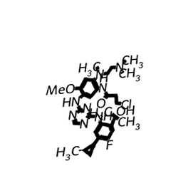 COc1cc(N(C)CCN(C)C)c(NC(=O)CCCl)cc1Nc1ncnc(Nc2cc(C3C[C@@H]3C)c(F)cc2C(C)(C)O)n1